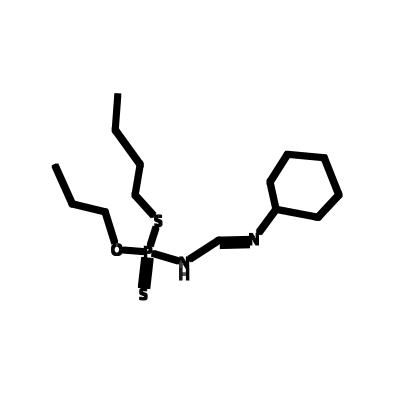 CCCCSP(=S)(NC=NC1CCCCC1)OCCC